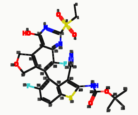 CCS(=O)(=O)c1nc(O)c2c3c(c(-c4c(F)ccc5sc(NC(=O)OC(C)(C)C)c(C#N)c45)c(F)c2n1)COC3